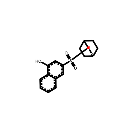 O=S(=O)(c1cc(O)c2ccccc2c1)N1CC2CCC(CC2)C1